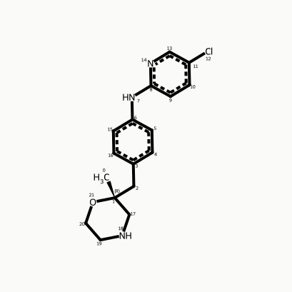 C[C@@]1(Cc2ccc(Nc3ccc(Cl)cn3)cc2)CNCCO1